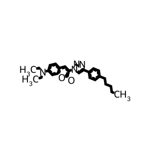 CCCCCc1ccc(-c2cn(-c3cc4ccc(N(CC)CC)cc4oc3=O)nn2)cc1